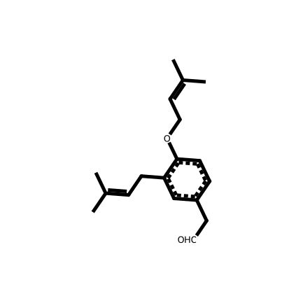 CC(C)=CCOc1ccc(CC=O)cc1CC=C(C)C